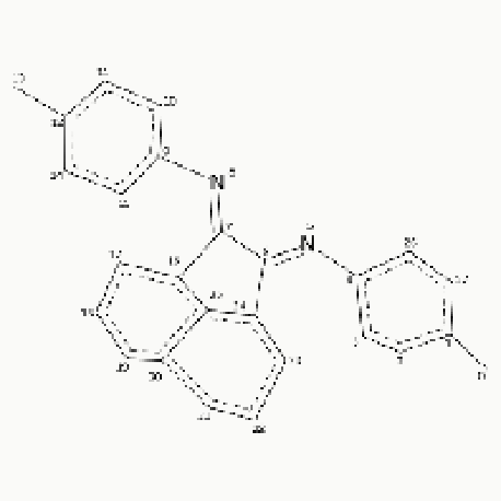 Cc1ccc(N=C2C(=Nc3ccc(C)cc3)c3cccc4cccc2c34)cc1